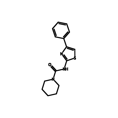 O=C(Nc1nc(-c2ccccc2)cs1)N1CCCCC1